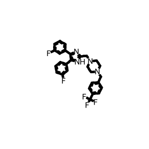 Fc1cccc(-c2nc(CN3CCN(Cc4ccc(C(F)(F)F)cc4)CC3)[nH]c2-c2cccc(F)c2)c1